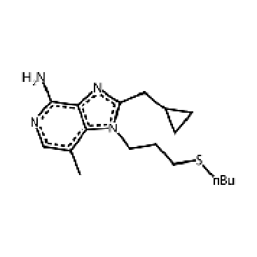 CCCCSCCCn1c(CC2CC2)nc2c(N)ncc(C)c21